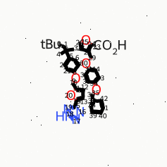 CC(C)(C)CC(C)(C)c1ccc(OCc2ccc(-c3nn[nH]n3)o2)cc1.O=C(O)c1occc1COc1ccc(OCc2ccccc2)cc1